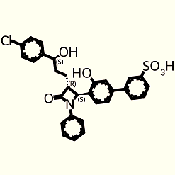 O=C1[C@H](CC[C@H](O)c2ccc(Cl)cc2)[C@@H](c2ccc(-c3cccc(S(=O)(=O)O)c3)cc2O)N1c1ccccc1